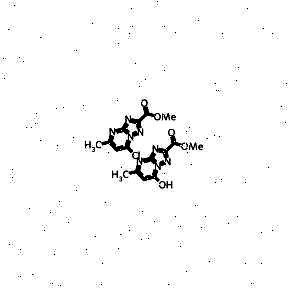 COC(=O)c1nc2nc(C)cc(Cl)n2n1.COC(=O)c1nc2nc(C)cc(O)n2n1